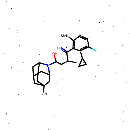 CNc1ccc(F)c(C2CC2)c1C(=N)C(C)CC(O)N1C2CC3CC1CC(C#N)(C3)C2